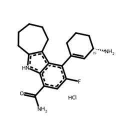 Cl.NC(=O)c1cc(F)c(C2=C[C@@H](N)CCC2)c2c3c([nH]c12)CCCCC3